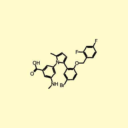 CNc1cc(C(=O)O)cc(-n2c(C)ccc2-c2cc(Br)ccc2OCc2ccc(F)cc2F)c1